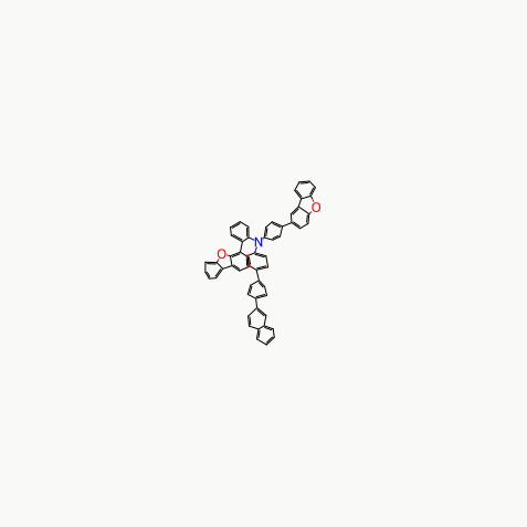 c1ccc(N(c2ccc(-c3ccc(-c4ccc5ccccc5c4)cc3)cc2)c2ccc(-c3ccc4oc5ccccc5c4c3)cc2)c(-c2cccc3c2oc2ccccc23)c1